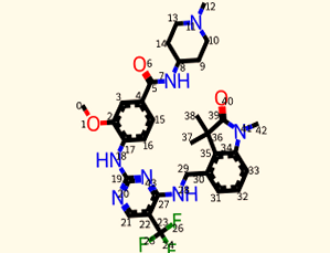 COc1cc(C(=O)NC2CCN(C)CC2)ccc1Nc1ncc(C(F)(F)F)c(NCc2cccc3c2C(C)(C)C(=O)N3C)n1